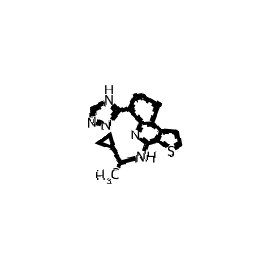 CC(Nc1nc2c(-c3nnc[nH]3)cccc2c2ccsc12)C1CC1